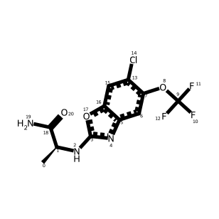 C[C@H](Nc1nc2cc(OC(F)(F)F)c(Cl)cc2o1)C(N)=O